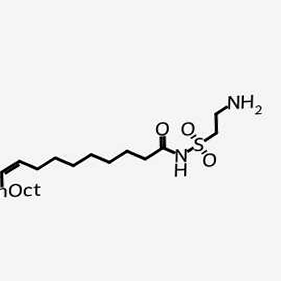 CCCCCCCC/C=C\CCCCCCCC(=O)NS(=O)(=O)CCN